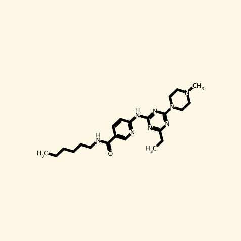 CCCCCCNC(=O)c1ccc(Nc2nc(CC)nc(N3CCN(C)CC3)n2)nc1